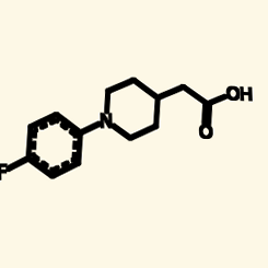 O=C(O)CC1CCN(c2ccc(F)cc2)CC1